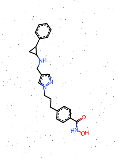 O=C(NO)c1ccc(CCCn2cc(CNC3CC3c3ccccc3)cn2)cc1